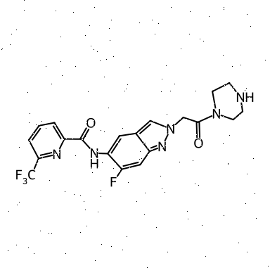 O=C(Nc1cc2cn(CC(=O)N3CCNCC3)nc2cc1F)c1cccc(C(F)(F)F)n1